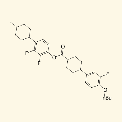 CCCCOc1ccc(C2CCC(C(=O)Oc3ccc(C4CCC(C)CC4)c(F)c3F)CC2)cc1F